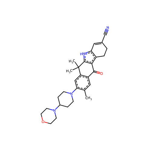 Cc1cc2c(cc1N1CCC(N3CCOCC3)CC1)C(C)(C)c1[nH]c3c(c1C2=O)CCC(C#N)=C3